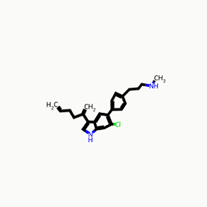 C=CCCC(=C)c1c[nH]c2cc(Cl)c(-c3ccc(CCCNC)cc3)cc12